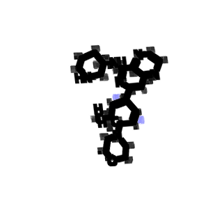 C=C(/C=C\C(=C/CC)c1cc2nccnc2c(N[C@H]2CCCNC2)n1)N1CCOCC1